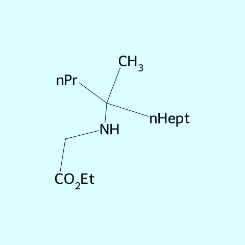 CCCCCCCC(C)(CCC)NCC(=O)OCC